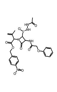 C=C(C)C(C(=O)OCc1ccc([N+](=O)[O-])cc1)N1C(=O)C(NC(=O)COc2ccccc2)C1[S+]([O-])NNC(C)=O